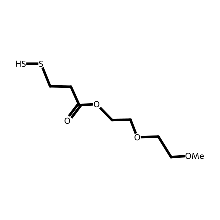 COCCOCCOC(=O)CCSS